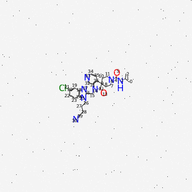 CC(C)NC(=O)N1CCC2(CC1)C(=O)N(Cc1nc3cc(Cl)ccc3n1CCCC#N)c1cnccc12